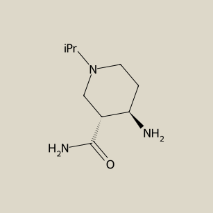 CC(C)N1CC[C@@H](N)[C@H](C(N)=O)C1